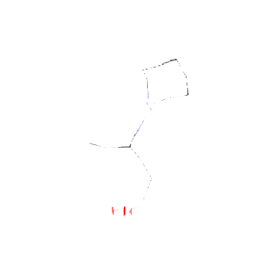 CC(CO)N1CCC1